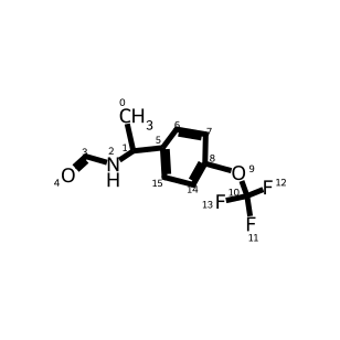 CC(NC=O)c1ccc(OC(F)(F)F)cc1